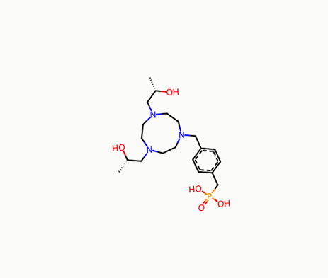 C[C@H](O)CN1CCN(Cc2ccc(CP(=O)(O)O)cc2)CCN(C[C@H](C)O)CC1